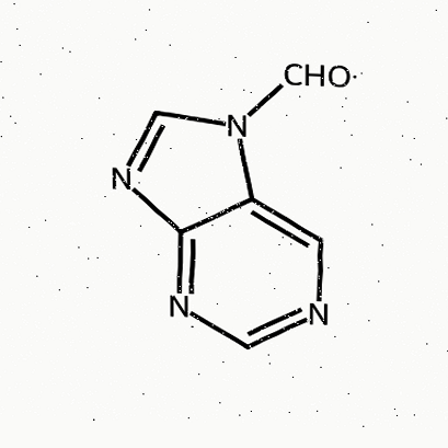 O=[C]n1cnc2ncncc21